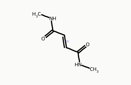 CNC(=O)/C=C/C(=O)NC